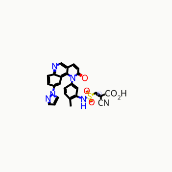 Cc1ccc(-n2c(=O)ccc3cnc4ccc(-n5cccn5)cc4c32)cc1NS(=O)(=O)/C=C(\C#N)C(=O)O